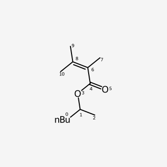 CCCCC(C)OC(=O)C(C)=C(C)C